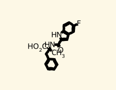 C[C@](Cc1ccccc1)(NC(=O)c1cc2cc(F)ccc2[nH]1)C(=O)O